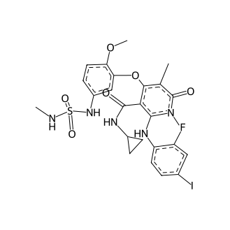 CNS(=O)(=O)Nc1ccc(OC)c(Oc2c(C(=O)NC3CC3)c(Nc3ccc(I)cc3F)n(C)c(=O)c2C)c1